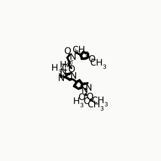 COc1ccc([C@@H](C)N2C[C@H]([C@@H](C)Oc3nc(-c4ccc5c(cnn5C(=O)OC(C)(C)C)c4)cc4nc[nH]c34)CC2=O)cc1